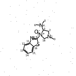 CN1CC(N(C)C)[N+]([O-])(c2nc3ccccc3s2)C1